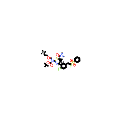 CN(C)C(=O)[C@]12C[C@H]1[C@@](C)(c1cc(/C=C(\F)S(=O)(=O)c3ccccc3)ccc1F)N=C(N(COCC[Si](C)(C)C)C(=O)OC(C)(C)C)S2